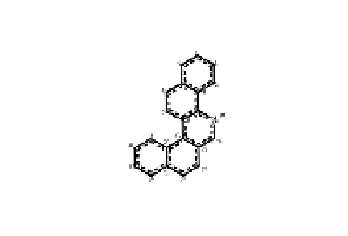 c1ccc2c(c1)ccc1c2ncc2ccc3ccccc3c21